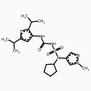 CC(C)c1cc(NC(=O)NS(=O)(=O)N(c2cnn(C)c2)C2CCCC2)c(C(C)C)s1